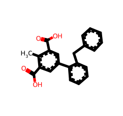 Cc1c(C(=O)O)cc(-c2ccccc2Cc2ccccc2)cc1C(=O)O